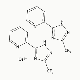 FC(F)(F)c1n[nH]c(-c2ccccn2)n1.FC(F)(F)c1n[nH]c(-c2ccccn2)n1.[Os+2]